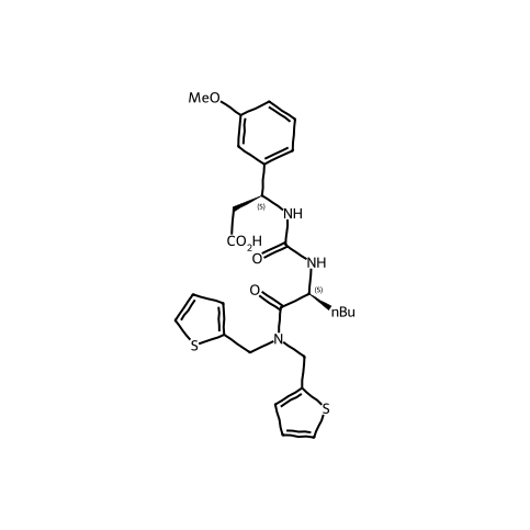 CCCC[C@H](NC(=O)N[C@@H](CC(=O)O)c1cccc(OC)c1)C(=O)N(Cc1cccs1)Cc1cccs1